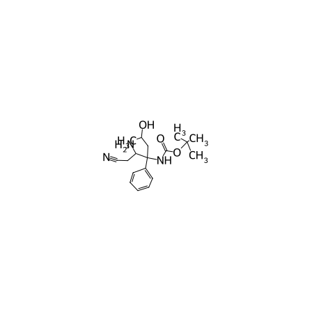 CC(O)CC(NC(=O)OC(C)(C)C)(c1ccccc1)C(N)CC#N